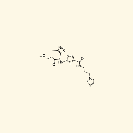 COCCC(=O)C(Nc1ncc(C(=O)NCCCn2ccnc2)s1)c1scnc1C